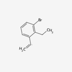 C=[C]c1cccc(Br)c1CC